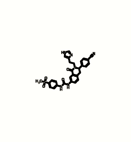 CS(=O)(=O)c1ccc(NC(=O)Nc2ccc3c(c2)C(=O)N(CCc2c[nH]cn2)C(c2ccc(C#N)cc2)C3)cc1